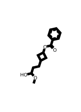 COC(O)CCC1CC(OC(=O)c2ccccc2)C1